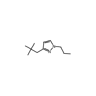 CCCn1ccc(CC(C)(C)C)n1